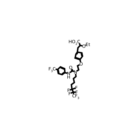 CCOC(Cc1ccc(OCCN(CCCCC(F)(F)C(F)(F)C(F)(F)F)C(=O)Nc2ccc(C(F)(F)F)cc2)cc1)C(=O)O